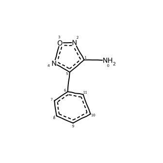 Nc1nonc1-c1c[c]ccc1